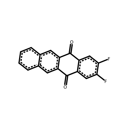 O=C1c2cc(F)c(F)cc2C(=O)c2cc3ccccc3cc21